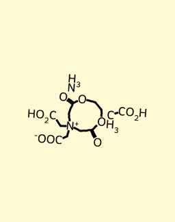 CC(=O)O.N.O=C([O-])C[N+]1(CC(=O)O)CC(=O)OCCOC(=O)C1